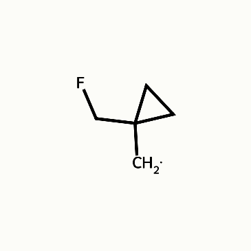 [CH2]C1(CF)CC1